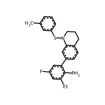 CCc1cc(F)cc(-c2ccc3c(c2)N(Sc2cccc(C)c2)CCC3)c1P